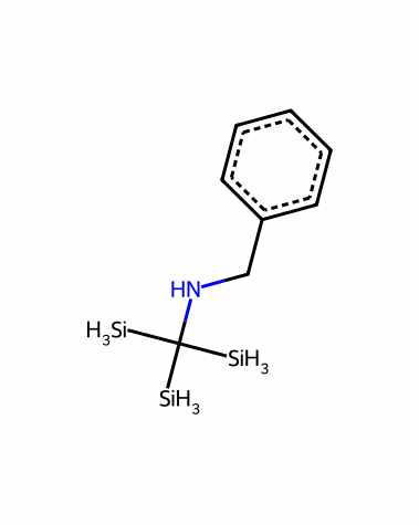 [SiH3]C([SiH3])([SiH3])NCc1ccccc1